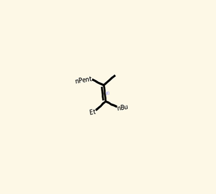 CCCCC/C(C)=C(\CC)CCCC